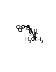 CN(C)CCNC(=S)NN=Cc1ccc(-c2ccc(Cl)c(Cl)c2)o1